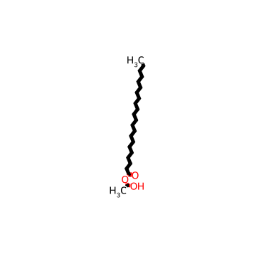 CCCCCCCCCCCCCCCCCCCCCC(=O)OC(C)O